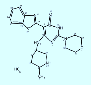 CC1CCC(Nc2nc(N3CCOCC3)[nH]c(=O)c2-c2nc3ccccc3s2)CN1.Cl